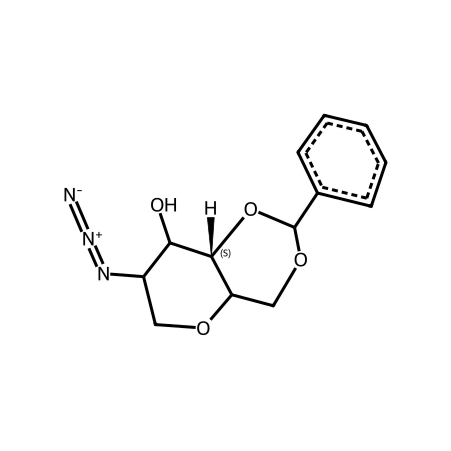 [N-]=[N+]=NC1COC2COC(c3ccccc3)O[C@H]2C1O